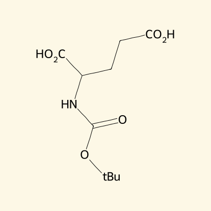 CC(C)(C)OC(=O)NC(CCC(=O)O)C(=O)O